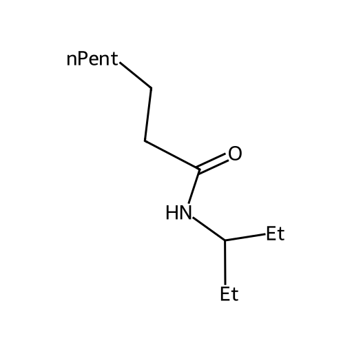 CCCCCCCC(=O)NC(CC)CC